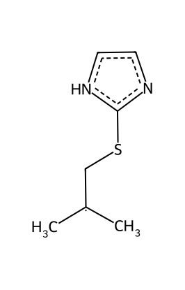 C[C](C)CSc1ncc[nH]1